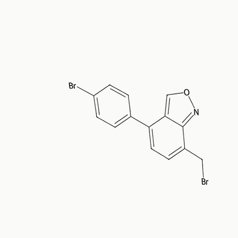 BrCc1ccc(-c2ccc(Br)cc2)c2conc12